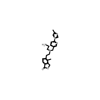 Cc1cn(-c2ccc(CN(CCN)CCc3ccc4c(c3C)COC4=O)cn2)cn1